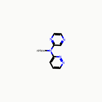 CCCCCCN(c1cnccn1)c1cccnn1